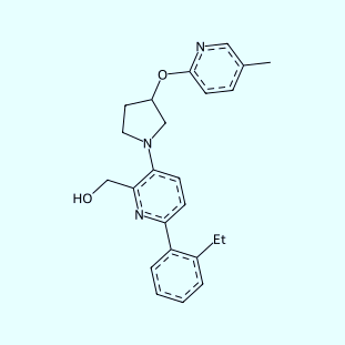 CCc1ccccc1-c1ccc(N2CCC(Oc3ccc(C)cn3)C2)c(CO)n1